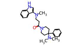 CN(CCC(=O)N1CCC(c2ccccc2)(N(C)C)CC1)c1c[nH]c2ccccc12